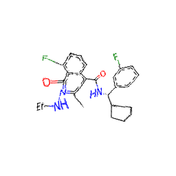 C[11CH2]Nn1c(C)c(C(=O)N[C@H](c2cccc(F)c2)C2CCC2)c2cccc(F)c2c1=O